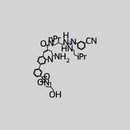 CCCN(CCCN/C(=N/c1cccc(C#N)c1)NCCC(C)C)C(=O)C1=Cc2ccc(-c3cccc(S(=O)(=O)N4CC(CO)C4)c3)cc2N=C(N)C1